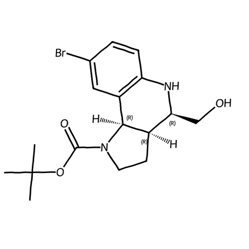 CC(C)(C)OC(=O)N1CC[C@@H]2[C@H](CO)Nc3ccc(Br)cc3[C@@H]21